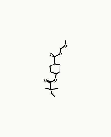 CCC(C)(C)C(=O)OC1CCC(C(=O)OCOC)CC1